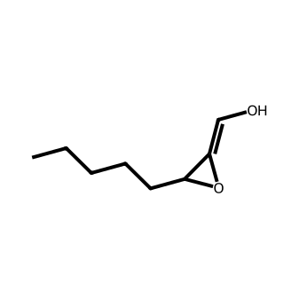 CCCCCC1O/C1=C\O